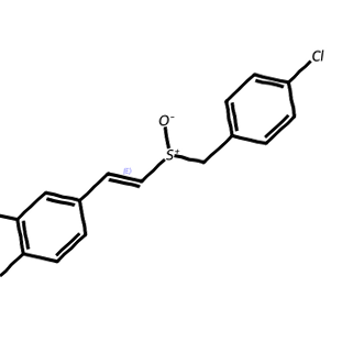 Cc1cc(/C=C/[S+]([O-])Cc2ccc(Cl)cc2)ccc1F